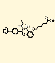 [2H]C(c1ccccc1OCCCCCC(=O)O)N(C(=O)c1ccc(-c2ccco2)cc1)C(C)CC